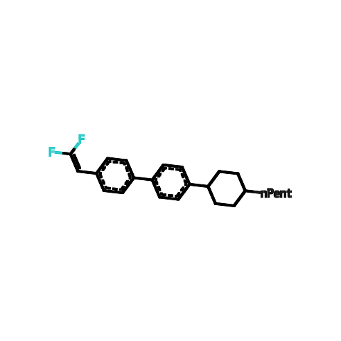 CCCCCC1CCC(c2ccc(-c3ccc(C=C(F)F)cc3)cc2)CC1